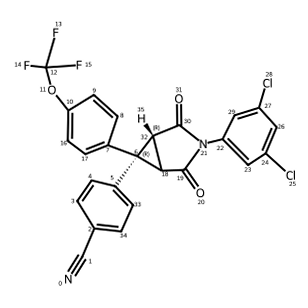 N#Cc1ccc([C@@]2(c3ccc(OC(F)(F)F)cc3)C3C(=O)N(c4cc(Cl)cc(Cl)c4)C(=O)[C@H]32)cc1